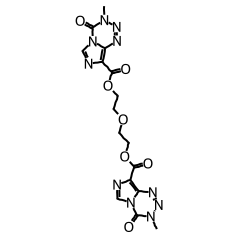 Cn1nnc2c(C(=O)OCCOCCOC(=O)c3ncn4c(=O)n(C)nnc34)ncn2c1=O